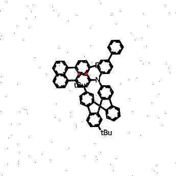 CC(C)(C)c1ccc2c(c1)C1(c3ccccc3-c3ccc(N(c4ccc(-c5ccccc5)cc4)c4ccc(-c5cccc6cccc(-c7ccc(F)cc7)c56)cc4)cc31)c1cc(C(C)(C)C)ccc1-2